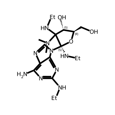 CCNc1nc(N)c2ncn([C@]3(NCC)O[C@H](CO)[C@@H](O)C3(NCC)N(C)C)c2n1